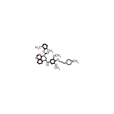 COc1cc(NC(CN(C(=O)Oc2c(C)cccc2C)c2ccncn2)c2ccccc2)cc(OC)c1OCCCN1CCN(C)CC1